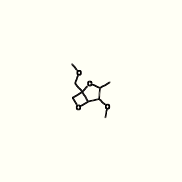 COCC12COC1C(OC)C(C)O2